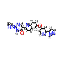 CC(C)Nc1ncc(-c2ccc3cc(Oc4ccnc(-c5ccnn5C)c4)ccc3n2)c(=O)n1C